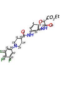 CCOC(=O)C1Oc2ccc(NC(=O)C3CCN(c4cc(F)c(F)c(F)c4)CC3)cc2NC1=O